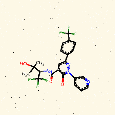 CC(C)(O)[C@@H](NC(=O)c1cc(-c2ccc(C(F)(F)F)cc2)nn(-c2cccnc2)c1=O)C(F)(F)F